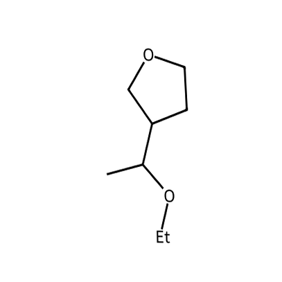 CCOC(C)C1CCOC1